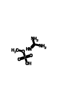 COS(=O)(=O)O.N=C(N)N